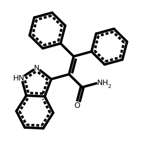 NC(=O)C(=C(c1ccccc1)c1ccccc1)c1n[nH]c2ccccc12